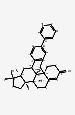 C[C@]1(O)CC[C@H]2[C@@H]3CCC4=CC(=O)CC[C@@]45Cc4cc(-c6cccnc6)ccc4C(C[C@@]21C)[C@@]35O